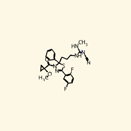 CN/C(=N/C#N)NCCCC1(c2ccccc2)SC(c2cc(F)ccc2F)=NN1C(=O)C1(OC)CC1